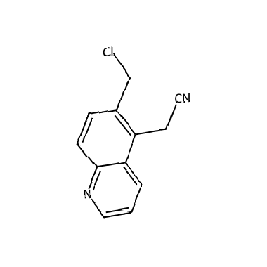 N#CCc1c(CCl)ccc2ncccc12